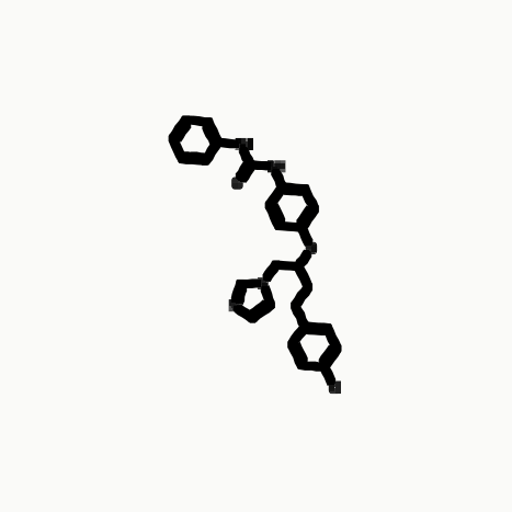 O=C(Nc1ccccc1)Nc1ccc(OC(CCc2ccc(Cl)cc2)Cn2ccnc2)cc1